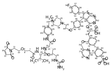 CC(C)[C@H](NC(=O)CCOCCN1C(=O)C=CC1=O)C(=O)N[C@@H](CCCNC(N)=O)C(=O)Nc1ccc(C[N+]2(C)CCN(CCOc3ccc(-c4c(-c5ccc(F)cc5)sc5ncnc(O[C@H](Cc6ccccc6OCc6ccnc(-c7cccc(S(=O)(=O)O)c7)n6)C(=O)O)c45)cc3)CC2)cc1